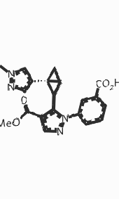 COC(=O)c1cnn(-c2cccc(C(=O)O)c2)c1C1C2C[C@@]21c1cnn(C)c1